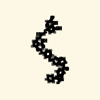 Cc1nc2cc(C(=O)N3CCOC4(CCN(Cc5cccc(CCOC6CCN(CCNCCc7ccc(O)c8c7OCC(=O)N8)[C@@H]6C(=O)O)c5)CC4)C3)ccc2n1C1CCCCC1